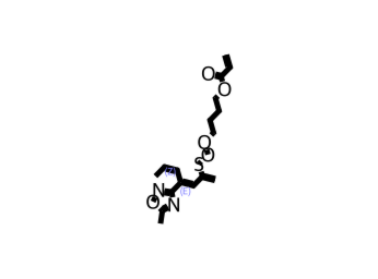 C=CC(=O)OCCCCOOSC(=C)/C=C(\C=C/C)c1noc(C)n1